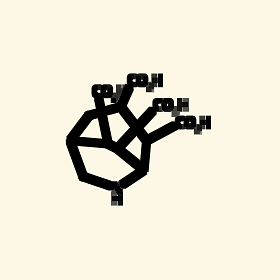 O=C(O)C1CC2CNC(C1C(=O)O)C(C(=O)O)C2C(=O)O